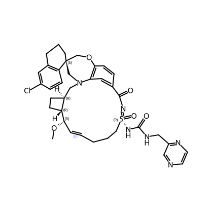 CO[C@H]1/C=C/CCC[S@@](=O)(NC(=O)NCc2cnccn2)=NC(=O)c2ccc3c(c2)N(C[C@@H]2CC[C@H]21)C[C@@]1(CCCc2cc(Cl)ccc21)CO3